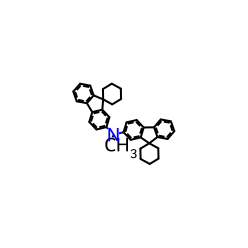 CN(c1ccc2c(c1)C1(CCCCC1)c1ccccc1-2)c1ccc2c(c1)C1(CCCCC1)c1ccccc1-2